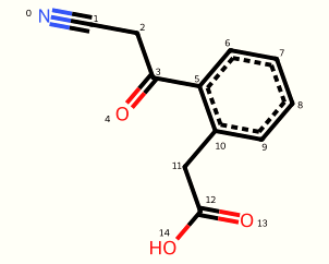 N#CCC(=O)c1ccccc1CC(=O)O